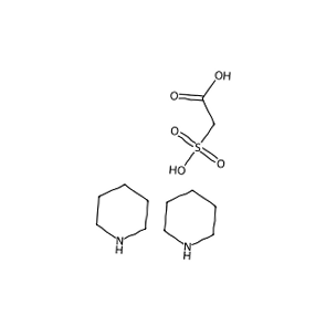 C1CCNCC1.C1CCNCC1.O=C(O)CS(=O)(=O)O